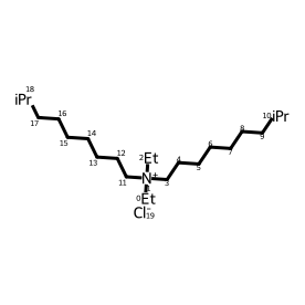 CC[N+](CC)(CCCCCCCC(C)C)CCCCCCCC(C)C.[Cl-]